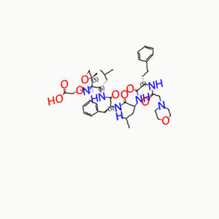 CC(C)CC(NC(=O)[C@H](CCc1ccccc1)NC(=O)CN1CCOCC1)C(=O)N[C@@H](Cc1ccccc1)C(=O)N[C@@H](CC(C)C)/C(=N/OCC(=O)O)[C@@]1(C)CO1